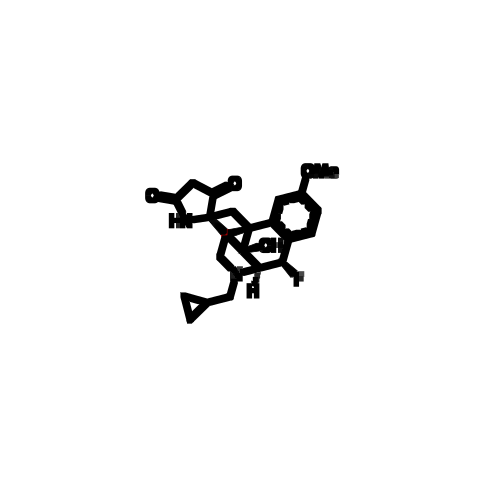 COc1ccc2c(c1)[C@]13CCN(CC4CC4)[C@H]([C@@H]2F)[C@]1(O)CC[C@@]1(C3)NC(=O)CC1=O